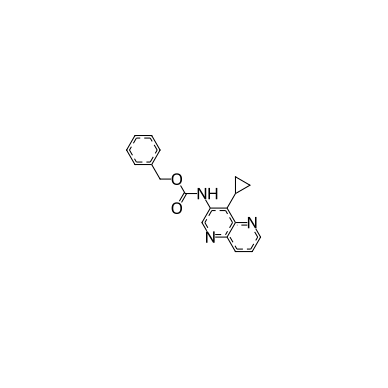 O=C(Nc1cnc2cccnc2c1C1CC1)OCc1ccccc1